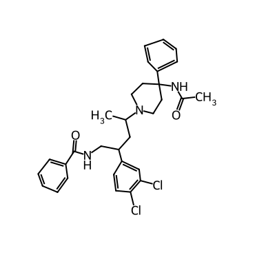 CC(=O)NC1(c2ccccc2)CCN(C(C)CC(CNC(=O)c2ccccc2)c2ccc(Cl)c(Cl)c2)CC1